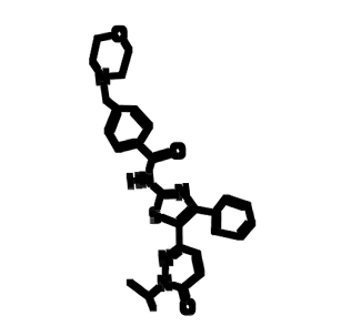 CC(C)n1nc(-c2sc(NC(=O)c3ccc(CN4CCOCC4)cc3)nc2-c2ccccc2)ccc1=O